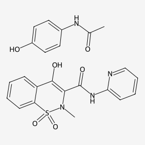 CC(=O)Nc1ccc(O)cc1.CN1C(C(=O)Nc2ccccn2)=C(O)c2ccccc2S1(=O)=O